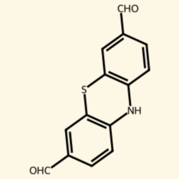 O=Cc1ccc2c(c1)Sc1cc(C=O)ccc1N2